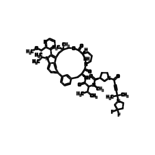 CCn1c(-c2cccnc2[C@H](C)OC)c2c3cc(ccc31)-c1cccc(c1)C[C@H](NC(=O)C(C(C)C)N(C)C(=O)[C@H]1CCN(C(=O)C#CC(C)(C)N3CCC(F)(F)C3)C1)C(=O)N1CCC[C@H](N1)C(=O)OCC(C)(C)C2